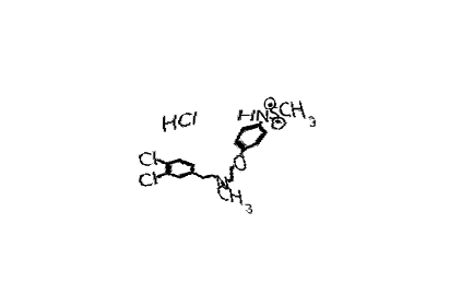 CN(CCOc1ccc(NS(C)(=O)=O)cc1)CCc1ccc(Cl)c(Cl)c1.Cl